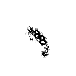 C[C@]12CCC(SCCN3CCCC3)C=C1CC[C@@H]1[C@H]2CC[C@]2(C)C(c3ccoc3)CC[C@@H]12